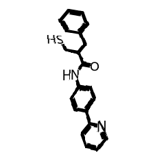 O=C(Nc1ccc(-c2ccccn2)cc1)C(CS)Cc1ccccc1